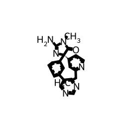 CCc1cc([C@]2(c3cccc(-c4cncnc4)c3)N=C(N)N(C)C2=O)ccn1